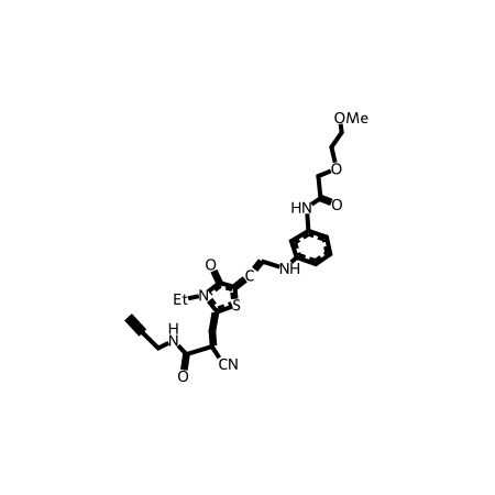 C#CCNC(=O)C(=C=c1sc(=C=CNc2cccc(NC(=O)COCCOC)c2)c(=O)n1CC)C#N